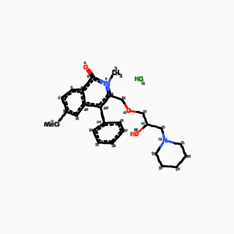 COc1ccc2c(=O)n(C)c(COCC(O)CN3CCCCC3)c(-c3ccccc3)c2c1.Cl